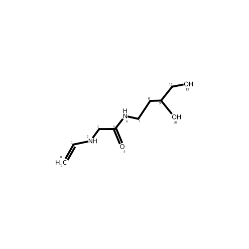 C=CNCC(=O)NCCC(O)CO